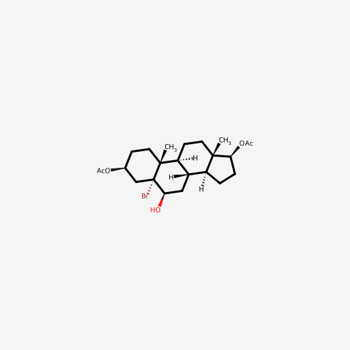 CC(=O)O[C@H]1CC[C@]2(C)[C@H]3CC[C@]4(C)[C@@H](OC(C)=O)CC[C@H]4[C@@H]3C[C@@H](O)[C@@]2(Br)C1